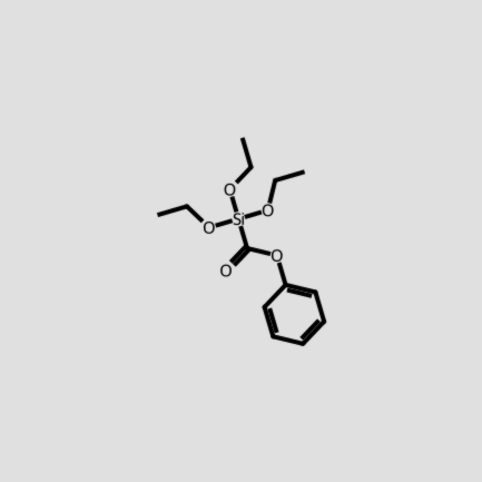 CCO[Si](OCC)(OCC)C(=O)Oc1ccccc1